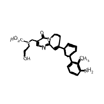 Cc1c(N)cccc1-c1cccc(-c2ccn3c(=O)c(CN(CCO)C(=O)O)cnc3c2)c1